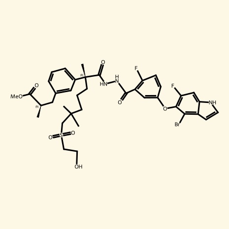 COC(=O)[C@H](C)Cc1cccc([C@@](C)(CCCC(C)(C)CS(=O)(=O)CCO)C(=O)NNC(=O)c2cc(Oc3c(F)cc4[nH]ccc4c3Br)ccc2F)c1